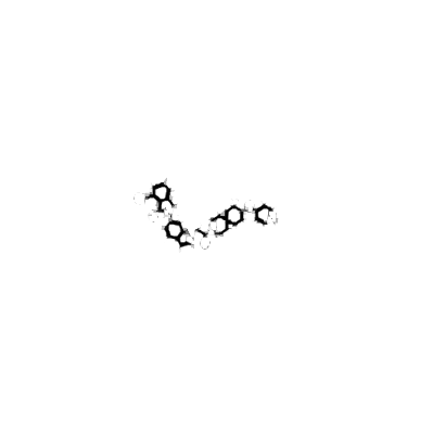 O=C(Cn1ccc2ccc(N3Cc4cccc(Cl)c4C3=O)cc21)N1CCC2(CCC(Oc3ccncc3)CC2)CC1